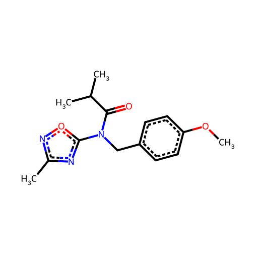 COc1ccc(CN(C(=O)C(C)C)c2nc(C)no2)cc1